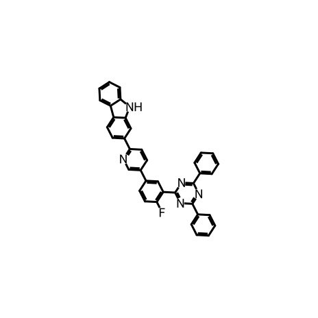 Fc1ccc(-c2ccc(-c3ccc4c(c3)[nH]c3ccccc34)nc2)cc1-c1nc(-c2ccccc2)nc(-c2ccccc2)n1